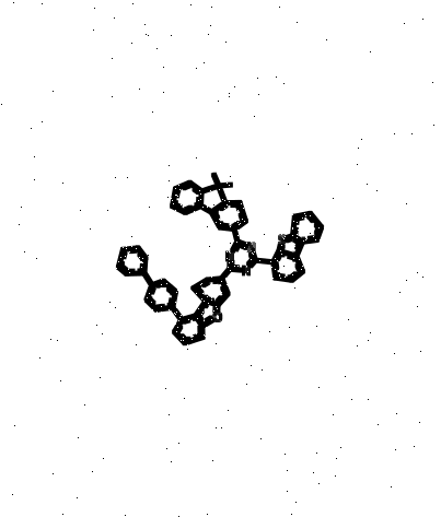 CC1(C)c2ccccc2-c2cc(-c3nc(-c4ccc5c(c4)oc4cccc(-c6ccc(-c7ccccc7)cc6)c45)nc(-c4cccc5c4sc4ccccc45)n3)ccc21